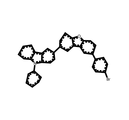 Brc1ccc(-c2ccc3oc4ccc(-c5ccc6c(c5)c5ccccc5n6-c5ccccc5)cc4c3c2)cc1